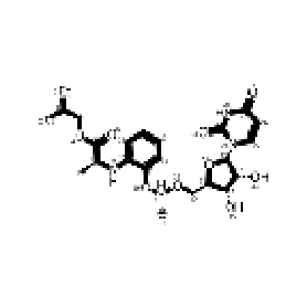 CCC(CC)COC(=O)[C@H](C)Nc1ccccc1O[PH](=O)OC[C@H]1O[C@@H](n2ccc(=O)[nH]c2=O)[C@H](O)[C@@H]1O